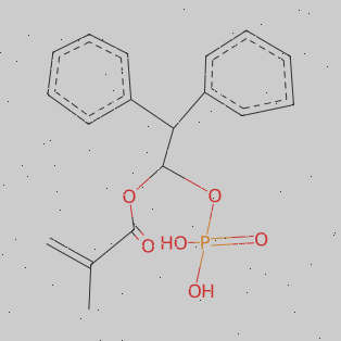 C=C(C)C(=O)OC(OP(=O)(O)O)C(c1ccccc1)c1ccccc1